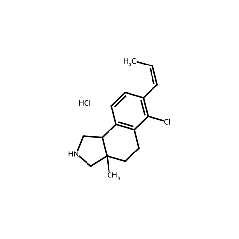 C/C=C\c1ccc2c(c1Cl)CCC1(C)CNCC21.Cl